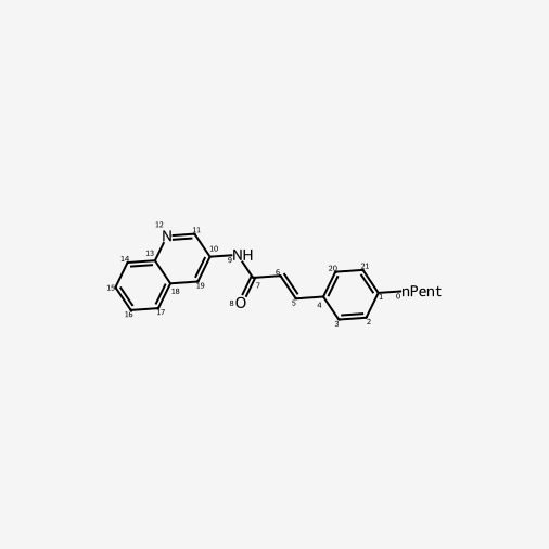 CCCCCc1ccc(/C=C/C(=O)Nc2cnc3ccccc3c2)cc1